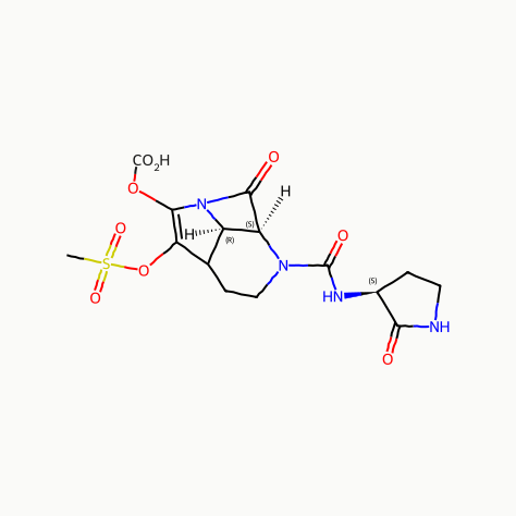 CS(=O)(=O)OC1=C(OC(=O)O)N2C(=O)[C@@H]3[C@H]2C1CCN3C(=O)N[C@H]1CCNC1=O